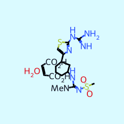 CN/C(=N/S(C)(=O)=O)NC1CCCC(c2csc(NC(=N)N)n2)C1.O.O=C(O)/C=C\C(=O)O